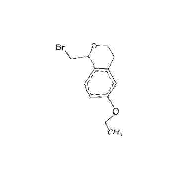 CCOc1ccc2c(c1)CCOC2CBr